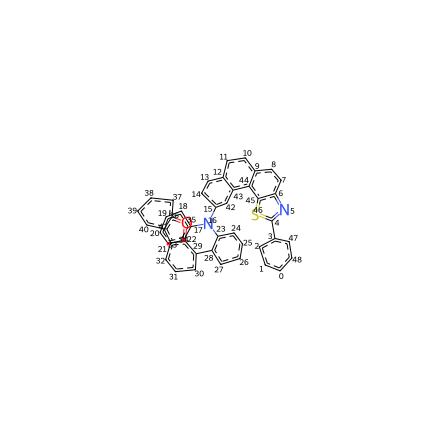 c1ccc(-c2nc3ccc4ccc5ccc(N(c6ccccc6)c6ccccc6-c6cccc7c6oc6ccccc67)cc5c4c3s2)cc1